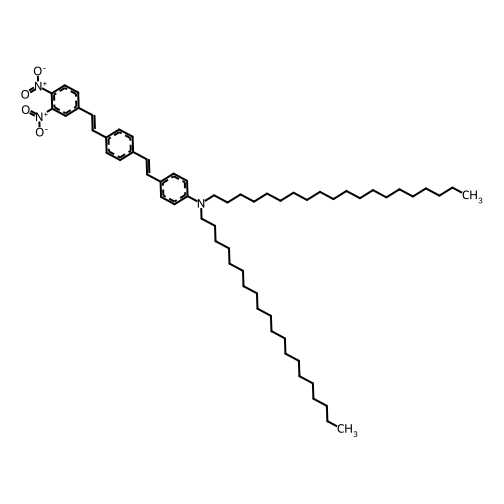 CCCCCCCCCCCCCCCCCCCCN(CCCCCCCCCCCCCCCCCCCC)c1ccc(C=Cc2ccc(C=Cc3ccc([N+](=O)[O-])c([N+](=O)[O-])c3)cc2)cc1